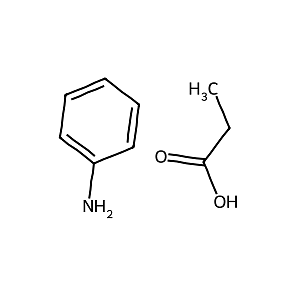 CCC(=O)O.Nc1ccccc1